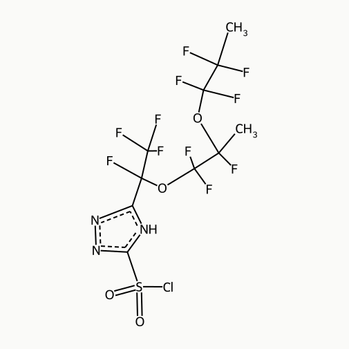 CC(F)(F)C(F)(F)OC(C)(F)C(F)(F)OC(F)(c1nnc(S(=O)(=O)Cl)[nH]1)C(F)(F)F